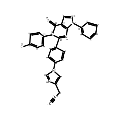 [C-]#[N+]Cc1cn(-c2ccc(-c3nc4c(cnn4-c4ccccc4)c(=O)n3-c3ccc(Cl)cc3)cc2)cn1